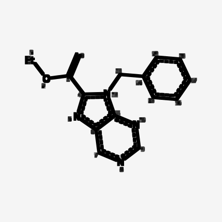 C=C(OCC)c1nc2cncnc2n1Cc1ccccc1